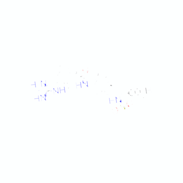 CS(=O)(=O)NC(Cc1ccc(NC(=O)c2cccc(NC(=N)N)c2)cc1)C(=O)O